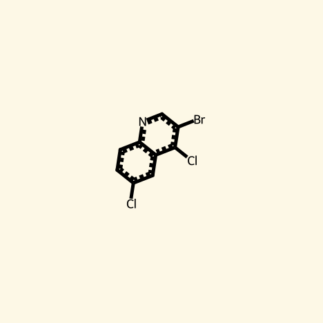 Clc1ccc2ncc(Br)c(Cl)c2c1